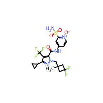 CC1(Cn2nc(C3CC3)c(C(F)(F)F)c2C(=O)Nc2cc[n+]([O-])c(S(N)(=O)=O)c2)CC(F)(F)C1